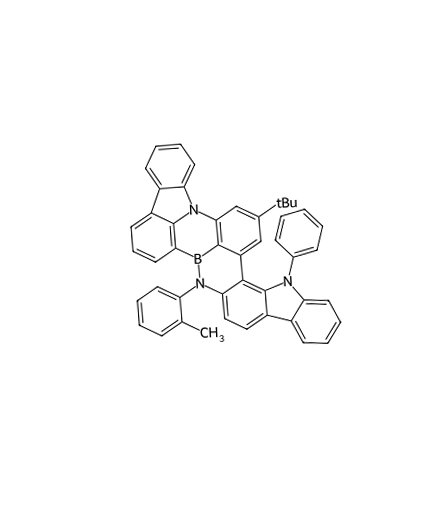 Cc1ccccc1N1B2c3c(cc(C(C)(C)C)cc3-n3c4ccccc4c4cccc2c43)-c2c1ccc1c3ccccc3n(-c3ccccc3)c21